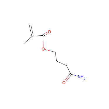 C=C(C)C(=O)OCCCC(N)=O